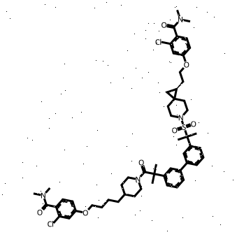 CN(C)C(=O)c1ccc(OCCCCC2CCN(C(=O)C(C)(C)c3cccc(-c4cccc(C(C)(C)S(=O)(=O)N5CCC6(CC5)C[C@H]6CCOc5ccc(C(=O)N(C)C)c(Cl)c5)c4)c3)CC2)cc1Cl